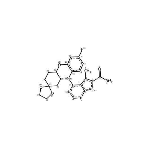 Cc1c(C(N)=O)sc2ncnc(Nc3ccc(F)cc3OC3CCC4(CC3)OCCO4)c12